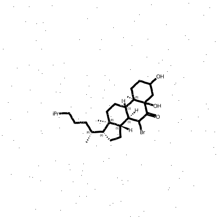 CC(C)CCC[C@@H](C)[C@H]1CC[C@H]2[C@@H]3C(Br)C(=O)C4(O)CC(O)CC[C@]4(C)[C@H]3CC[C@]12C